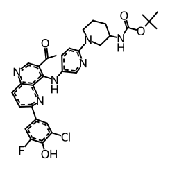 CC(=O)c1cnc2ccc(-c3cc(F)c(O)c(Cl)c3)nc2c1Nc1ccc(N2CCCC(NC(=O)OC(C)(C)C)C2)nc1